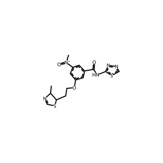 CC1N=CSC1CCOc1cc(C(=O)Nc2nncs2)cc([N+](C)=O)c1